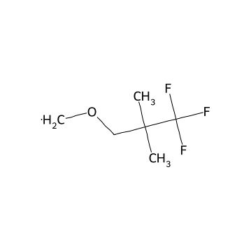 [CH2]OCC(C)(C)C(F)(F)F